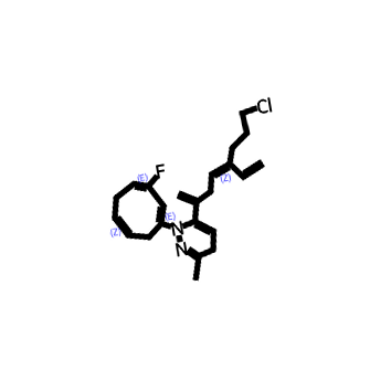 C=C/C(=C\CC(=C)C1=CCC(C)=NN1/C1=C/C(F)=C\C/C=C\C1)CCCCl